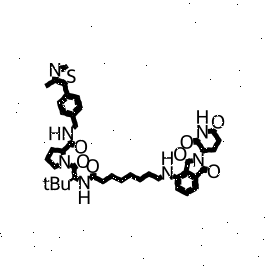 Cc1ncsc1-c1ccc(CNC(=O)C2CCCN2C(=O)[C@@H](NC(=O)CCCCCCCNc2cccc3c2C(=O)N(C2CCC(=O)NC2=O)C3=O)C(C)(C)C)cc1